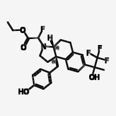 CCOC(=O)C(F)N1CC[C@@]2(Cc3ccc(O)cc3)c3ccc(C(C)(O)C(F)(F)F)cc3CC[C@@H]12